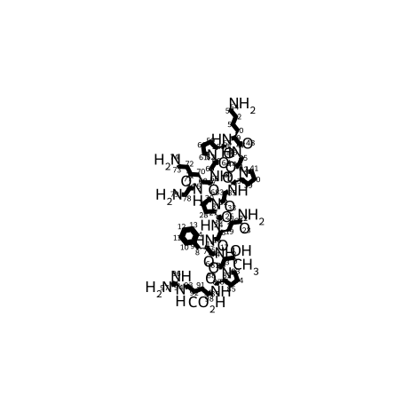 C[C@@H](O)[C@H](NC(=O)[C@H](Cc1ccccc1)NC(=O)[C@H](CCC(N)=O)NC(=O)[C@@H]1CCCN1C(=O)CNC(=O)[C@@H]1CCCN1C(=O)CNC(=O)[C@H](CCCCN)NC(=O)[C@@H]1CCCN1C(=O)CNC(=O)[C@H](CCCCN)NC(=O)CN)C(=O)N1CCC[C@H]1C(=O)N[C@@H](CCCNC(=N)N)C(=O)O